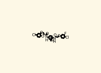 C[C@H]1CC2(NC(=O)[C@H]3COc4cc(Cl)ccc4O3)CCC1(NC(=O)COc1ccc(Cl)c(F)c1)CC2